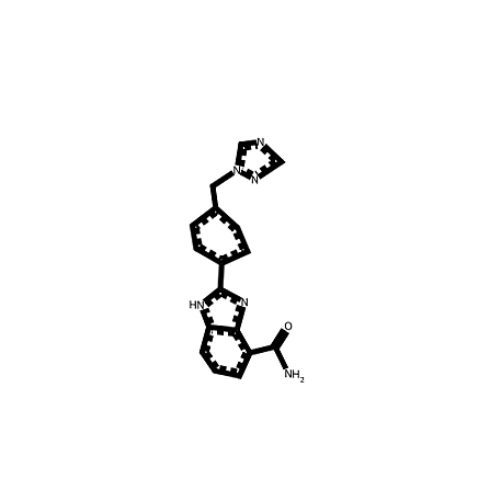 NC(=O)c1cccc2[nH]c(-c3ccc(Cn4cncn4)cc3)nc12